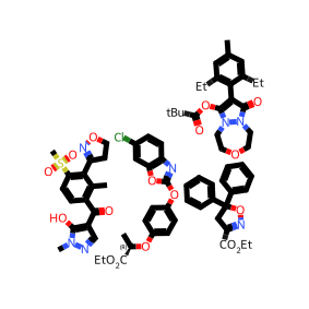 CCOC(=O)C1=NOC(c2ccccc2)(c2ccccc2)C1.CCOC(=O)[C@@H](C)Oc1ccc(Oc2nc3ccc(Cl)cc3o2)cc1.CCc1cc(C)cc(CC)c1-c1c(OC(=O)C(C)(C)C)n2n(c1=O)CCOCC2.Cc1c(C(=O)c2cnn(C)c2O)ccc(S(C)(=O)=O)c1C1=NOCC1